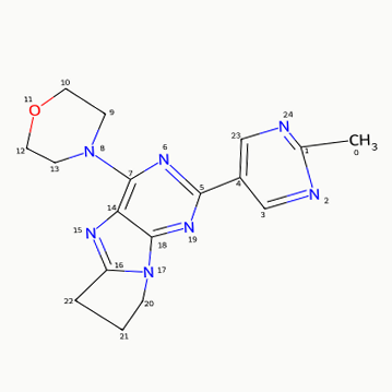 Cc1ncc(-c2nc(N3CCOCC3)c3nc4n(c3n2)CCC4)cn1